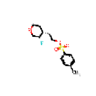 Cc1ccc(S(=O)(=O)OCC[C@H]2CCOC[C@H]2F)cc1